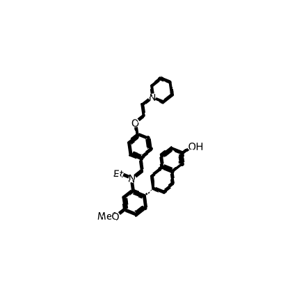 CCN(Cc1ccc(OCCN2CCCCC2)cc1)c1cc(OC)ccc1[C@H]1CCc2cc(O)ccc2C1